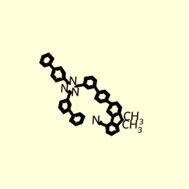 CC1(C)c2ccc(-c3ccc(-c4cccc(-c5nc(-c6ccc(-c7ccccc7)cc6)nc(-c6cccc(-c7ccccc7)c6)n5)c4)cc3)cc2-c2c(C#N)cccc21